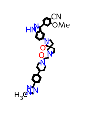 COc1cc(-c2n[nH]c3ccc(N4CCC5(CCN(CC(=O)N6CC=C(c7ccc(-c8ncn(C)n8)cc7)CC6)C5)C4=O)cc23)ccc1C#N